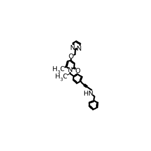 Cc1cc(OCc2ncccn2)cc(=O)n1[C@H](C)c1ccc(C#CCNCc2ccccc2)cc1